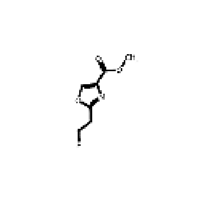 COC(=O)c1coc(CCF)n1